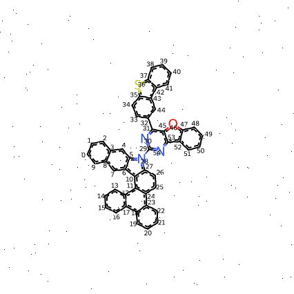 c1ccc2cc3c(cc2c1)c1c2c4ccccc4c4ccccc4c2ccc1n3-c1nc(-c2ccc3sc4ccccc4c3c2)c2oc3ccccc3c2n1